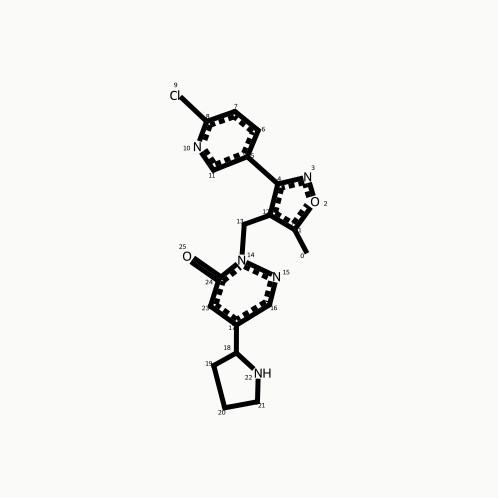 Cc1onc(-c2ccc(Cl)nc2)c1Cn1ncc(C2CCCN2)cc1=O